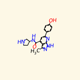 Cc1n[nH]c2nc(-c3ccc(O)cc3)cc(C(=O)NC3CCNC3)c12